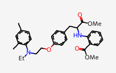 CCN(CCOc1ccc(CC(Nc2ccccc2C(=O)OC)C(=O)OC)cc1)c1ccc(C)cc1C